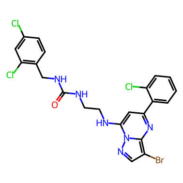 O=C(NCCNc1cc(-c2ccccc2Cl)nc2c(Br)cnn12)NCc1ccc(Cl)cc1Cl